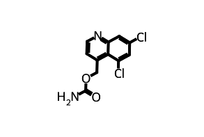 NC(=O)OCc1ccnc2cc(Cl)cc(Cl)c12